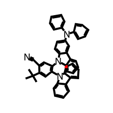 CC(C)(C)c1cc(-n2c3ccccc3c3ccccc32)c(-n2c3ccccc3c3cc(N(c4ccccc4)c4ccccc4)ccc32)cc1C#N